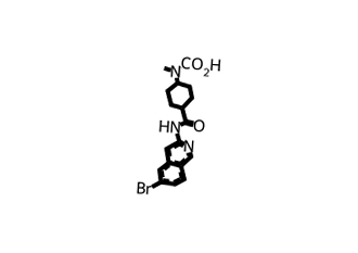 CN(C(=O)O)C1CCC(C(=O)Nc2cc3cc(Br)ccc3cn2)CC1